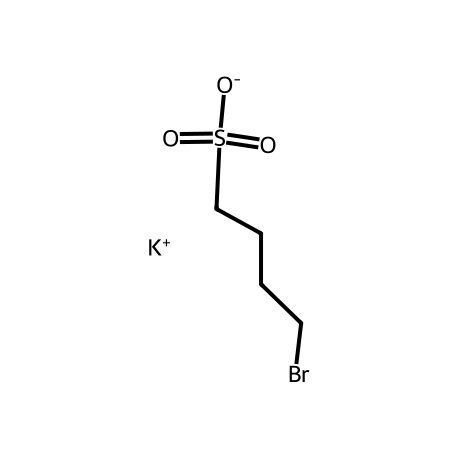 O=S(=O)([O-])CCCCBr.[K+]